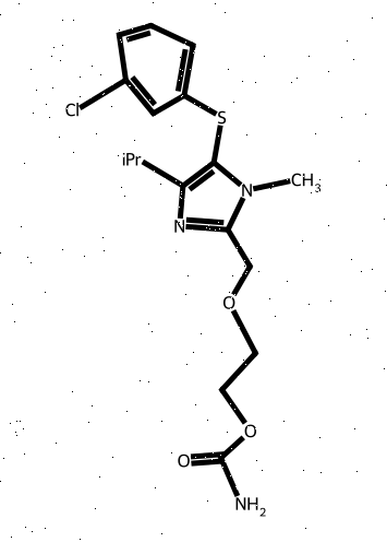 CC(C)c1nc(COCCOC(N)=O)n(C)c1Sc1cccc(Cl)c1